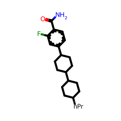 CCCC1CCC(C2CCC(c3ccc(C(N)=O)c(F)c3)CC2)CC1